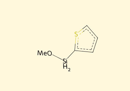 CO[SiH2]c1cccs1